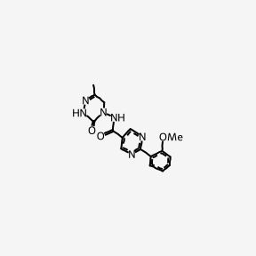 COc1ccccc1-c1ncc(C(=O)NN2CC(C)=NNC2=O)cn1